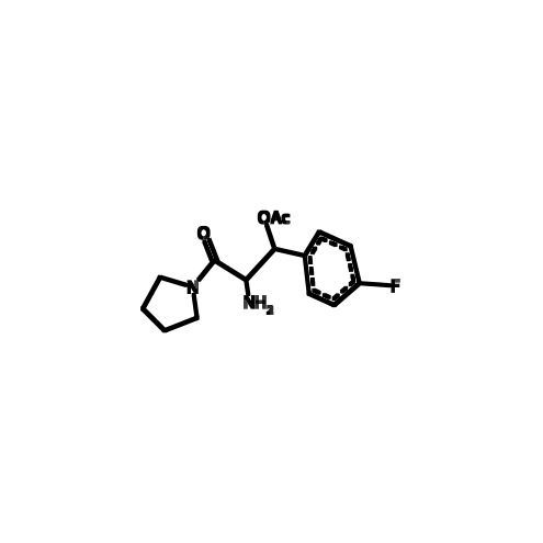 CC(=O)OC(c1ccc(F)cc1)C(N)C(=O)N1CCCC1